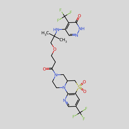 CC(C)(COCCC(=O)N1CCN2c3ncc(C(F)(F)F)cc3S(=O)(=O)CC2C1)Nc1cn[nH]c(=O)c1C(F)(F)F